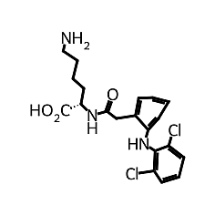 NCCCC[C@H](NC(=O)Cc1ccccc1Nc1c(Cl)cccc1Cl)C(=O)O